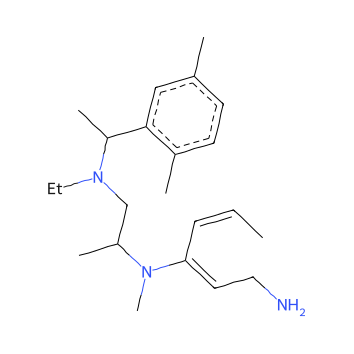 C/C=C\C(=C/CN)N(C)C(C)CN(CC)C(C)c1cc(C)ccc1C